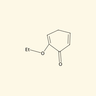 CCOC1=CCC=CC1=O